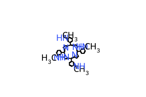 CNc1cccc(-c2c3nc(c(-c4cccc(NC)c4)c4ccc([nH]4)c(-c4cccc(NC)c4)c4nc(c(-c5cccc(NC)c5)c5ccc2[nH]5)C=C4)C=C3)c1